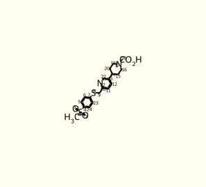 CS(=O)(=O)c1ccc(SCc2ccc(C3CCN(C(=O)O)CC3)cn2)cc1